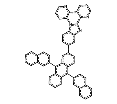 c1ccc2cc(-c3c4ccccc4c(-c4ccc5ccccc5c4)c4cc(-c5ccc6c(c5)nc5c7ncccc7c7ncccc7n65)ccc34)ccc2c1